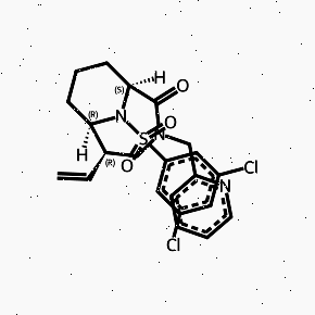 C=C[C@@H]1CN(Cc2ccccn2)C(=O)[C@@H]2CCC[C@H]1N2S(=O)(=O)c1cc(Cl)cc(Cl)c1